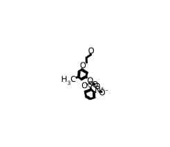 Cc1cc(OCCC=O)cc(OS(=O)(=O)c2ccccc2[N+](=O)[O-])c1